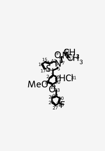 COc1cc(CCN(CC(=O)N(C)C)Cc2cccs2)ccc1OCc1cccc(F)c1.Cl